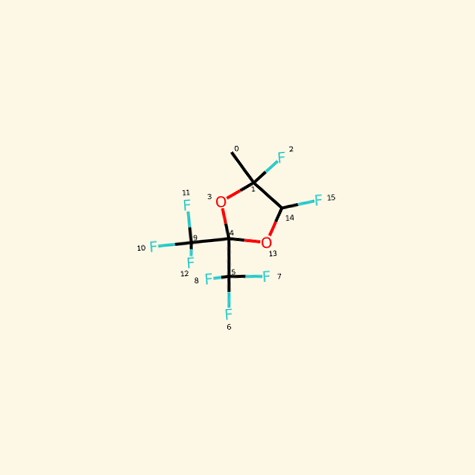 CC1(F)OC(C(F)(F)F)(C(F)(F)F)OC1F